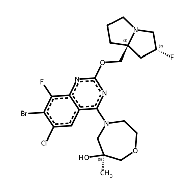 C[C@@]1(O)COCCN(c2nc(OC[C@@]34CCCN3C[C@H](F)C4)nc3c(F)c(Br)c(Cl)cc23)C1